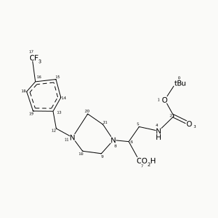 CC(C)(C)OC(=O)NCC(C(=O)O)N1CCN(Cc2ccc(C(F)(F)F)cc2)CC1